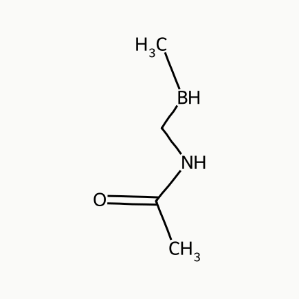 CBCNC(C)=O